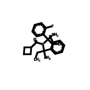 CCC(N)(c1ccccc1F)N(C(=O)C1CCC1)C(N)(CC)c1ccccc1F